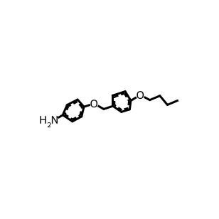 CCCCOc1ccc(COc2ccc(N)cc2)cc1